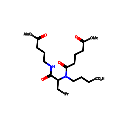 COC(=O)CCCNC(=O)C(CC(C)C)N(CCCC(=O)O)C(=O)CCCC(=O)OC